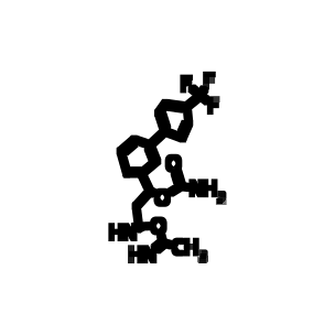 CC(=N)OC(=N)CC(OC(N)=O)c1cccc(-c2ccc(C(F)(F)F)cc2)c1